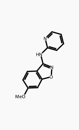 COc1ccc2c(Nc3ccccn3)noc2c1